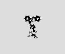 CCCC(CO)NC(=O)c1ccc(Oc2nn(Cc3ccccc3)c3ccccc23)o1